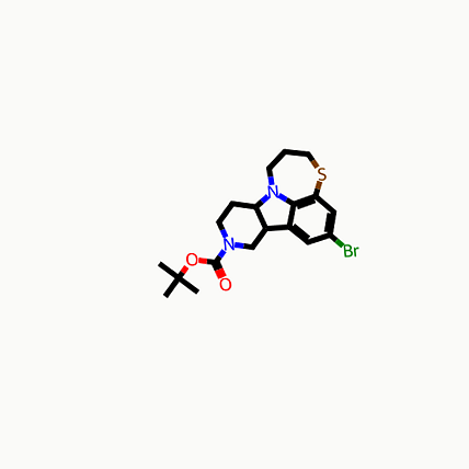 CC(C)(C)OC(=O)N1CCC2C(C1)c1cc(Br)cc3c1N2CCCS3